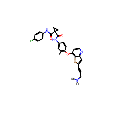 CCN(CC)CC#Cc1cc2nccc(Oc3ccc(NC(=O)C4(C(=O)Nc5ccc(F)cc5)CC4)cc3C)c2s1